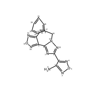 Nc1nonc1-c1nc(-c2nonc2N)n(Cc2ccccc2)n1